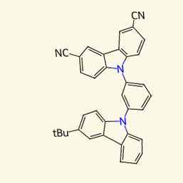 CC(C)(C)c1ccc2c(c1)c1ccccc1n2-c1cccc(-n2c3ccc(C#N)cc3c3cc(C#N)ccc32)c1